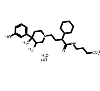 CCOC(=O)CCCNC(=O)C(CCN1CCC(C)(c2cccc(O)c2)C(C)C1)C1CCCCC1.Cl.O